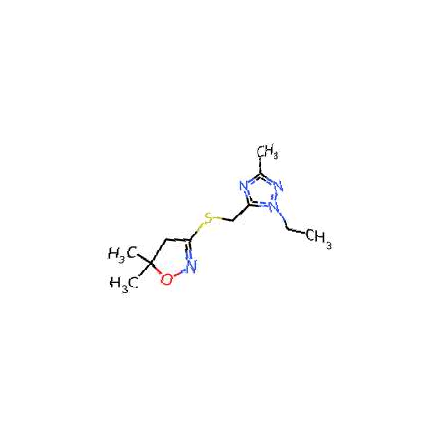 CCn1nc(C)nc1CSC1=NOC(C)(C)C1